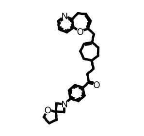 O=C(CCC1CCC=C(CC2=C=CCc3ncccc3O2)CC1)c1ccc(N2CC3(CCCO3)C2)cc1